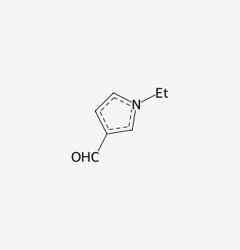 CCn1ccc(C=O)c1